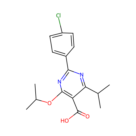 CC(C)Oc1nc(-c2ccc(Cl)cc2)nc(C(C)C)c1C(=O)O